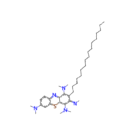 CCCCCCCCCCCCCCCCCc1c(N(C)C)c2nc3ccc(N(C)C)cc3sc-2c(N(C)C)/c1=N/C